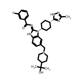 Cc1n[nH]c([C@H]2CC[C@@H](n3/c(=N/C(=O)c4cccc(F)c4)[nH]c4ccc(CN5CCC(C(C)(C)O)CC5)cc43)CC2)n1